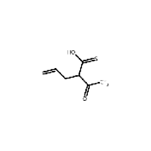 C=CCC(C(=O)C(F)(F)F)C(O)=S